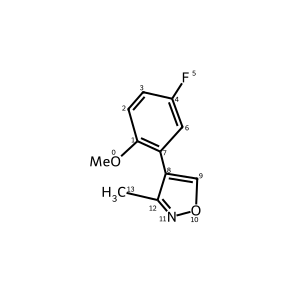 COc1ccc(F)cc1-c1conc1C